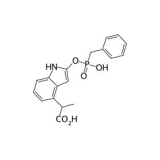 CC(C(=O)O)c1cccc2[nH]c(OP(=O)(O)Cc3ccccc3)cc12